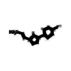 O=C(O)C=Cc1ccc(-c2ccc(F)cc2)o1